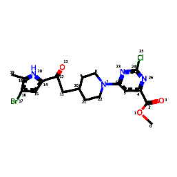 COC(=O)c1cc(N2CCC(CC(=O)c3cc(Br)c(C)[nH]3)CC2)nc(Cl)n1